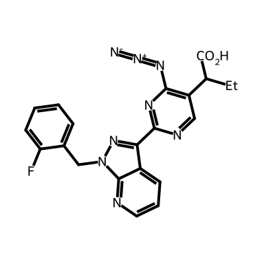 CCC(C(=O)O)c1cnc(-c2nn(Cc3ccccc3F)c3ncccc23)nc1N=[N+]=[N-]